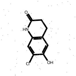 O=C1CCc2cc(O)c(Cl)cc2N1